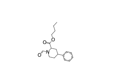 CCCCOC(=O)C1CC(c2ccccc2)CCN1C=O